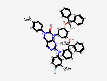 COc1ccc(N2Cc3cnc(Nc4ccc(F)c(OC)c4)nc3N(C3C[C@@H](O[Si](c4ccccc4)(c4ccccc4)C(C)(C)C)C[C@@H](O[Si](c4ccccc4)(c4ccccc4)C(C)(C)C)C3)C2=O)cc1